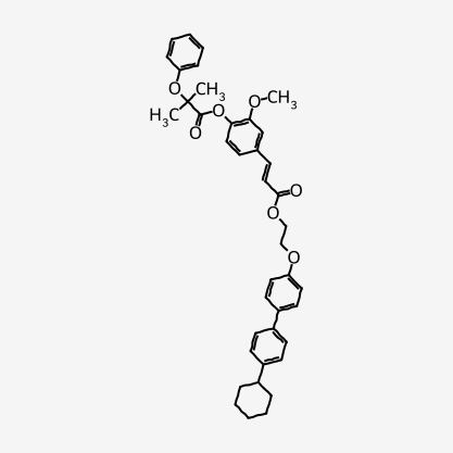 COc1cc(C=CC(=O)OCCOc2ccc(-c3ccc(C4CCCCC4)cc3)cc2)ccc1OC(=O)C(C)(C)Oc1ccccc1